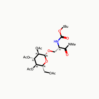 CNC(=O)[C@H](CO[C@@H]1O[C@H](COC(C)=O)[C@@H](OC(C)=O)[C@H](OC(C)=O)[C@H]1OC(C)=O)NC(=O)OC(C)(C)C